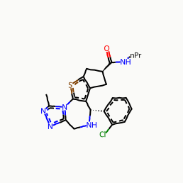 CCCNC(=O)[C@@H]1Cc2sc3c(c2C1)[C@H](c1ccccc1Cl)NCc1nnc(C)n1-3